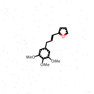 COc1cc(C/C=C/c2ccco2)cc(OC)c1OC